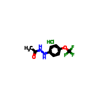 CC(=O)NNc1ccc(OC(F)(F)F)cc1.Cl